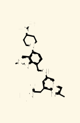 CCNC1CCN(c2ccc(C(=O)Nc3cc(CC(N)=O)c4nc(C)cn4c3)c3nn(C)cc23)CC1